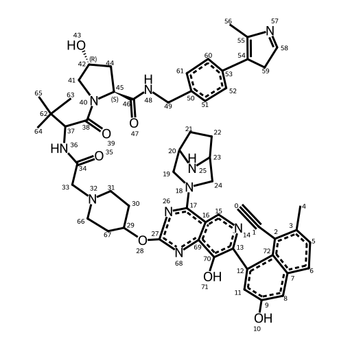 C#Cc1c(C)ccc2cc(O)cc(-c3ncc4c(N5CC6CCC(C5)N6)nc(OC5CCN(CC(=O)NC(C(=O)N6C[C@H](O)C[C@H]6C(=O)NCc6ccc(C7=C(C)N=CC7)cc6)C(C)(C)C)CC5)nc4c3O)c12